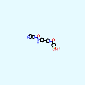 O=C(Nc1ccc(C2=CCN(C(=O)C3CCS(O)(O)CC3)CC2)cc1)N1Cc2ccncc2C1